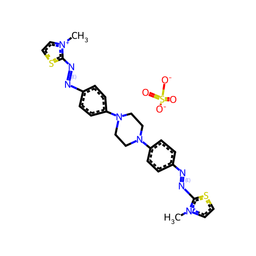 C[n+]1ccsc1/N=N/c1ccc(N2CCN(c3ccc(/N=N/c4scc[n+]4C)cc3)CC2)cc1.O=S(=O)([O-])[O-]